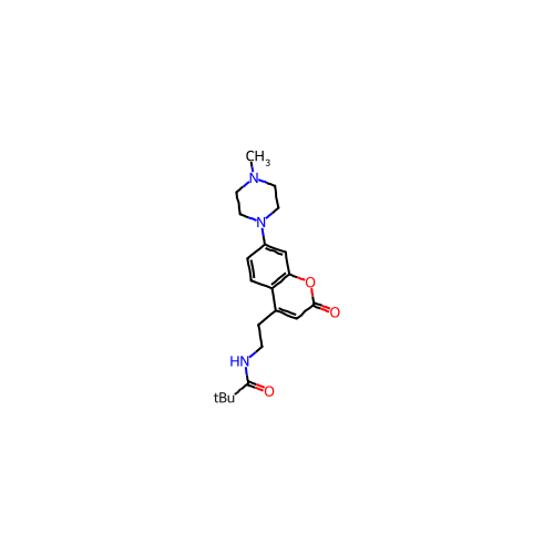 CN1CCN(c2ccc3c(CCNC(=O)C(C)(C)C)cc(=O)oc3c2)CC1